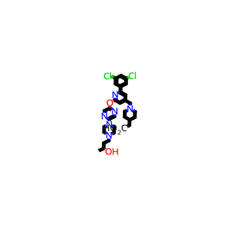 CC(O)CCN1CCN(c2cnc(Oc3cc(CN4CCC(CC(=O)O)CC4)cc(-c4cc(Cl)cc(Cl)c4)n3)cn2)CC1